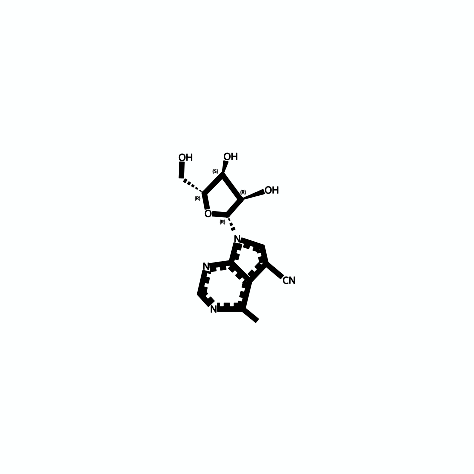 Cc1ncnc2c1c(C#N)cn2[C@@H]1O[C@H](CO)[C@@H](O)[C@H]1O